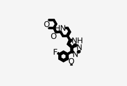 COc1ccc(F)cc1-c1ncnc2[nH]c(C3=CCNC(C(=O)C4CCCOC4)C3)cc12